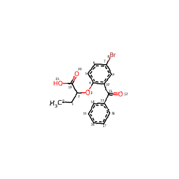 CCC(Oc1ccc(Br)cc1C(=O)c1ccccc1)C(=O)O